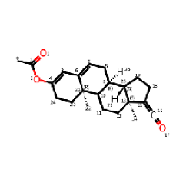 CC(=O)OC1=CC2=CC[C@@H]3C(CC[C@]4(C)C(=C=O)CC[C@@H]34)[C@@]2(C)CC1